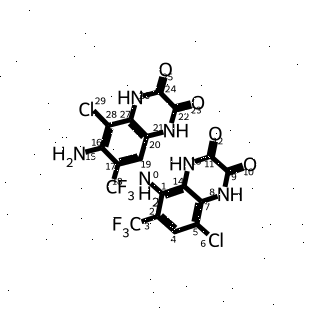 Nc1c(C(F)(F)F)cc(Cl)c2[nH]c(=O)c(=O)[nH]c12.Nc1c(C(F)(F)F)cc2[nH]c(=O)c(=O)[nH]c2c1Cl